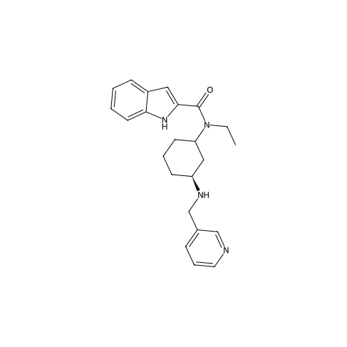 CCN(C(=O)c1cc2ccccc2[nH]1)C1CCC[C@H](NCc2cccnc2)C1